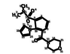 CN(C)S(=O)(=O)c1cccc(C(=O)N2CCOCC2)c1-n1cccc1